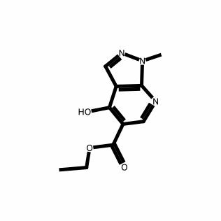 CCOC(=O)c1cnc2c(cnn2C)c1O